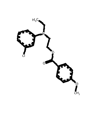 CCN(CCOC(=O)c1ccc(OC)cc1)c1cccc(Cl)c1